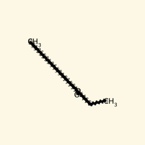 CCCCCCCC/C=C\CCCCCCCC(=O)OCCCCCCCCCCCCCCCCCCCCCCCCCCCCCCCCCCCC